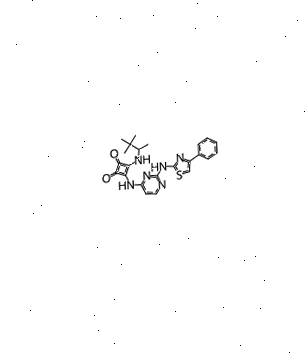 CC(Nc1c(Nc2ccnc(Nc3nc(-c4ccccc4)cs3)n2)c(=O)c1=O)C(C)(C)C